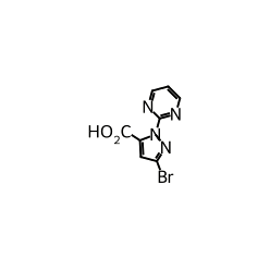 O=C(O)c1cc(Br)nn1-c1ncccn1